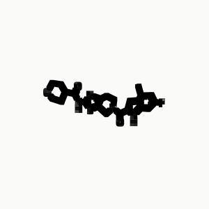 Cc1cc(F)cc2[nH]c(C(=O)N3CCc4nc(NC(=O)C5CCOCC5)sc4C3)cc12